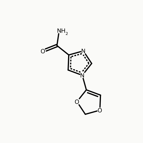 NC(=O)c1cn(C2=COCO2)cn1